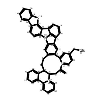 C=C1CC2C(CCc3cc4c(cc3-c3cc(CC(C)(C)C)cc[n+]31)c1cccc3c5c6sc7ccccc7c6ccc5n4c13)c1ccccc1-c1cccc[n+]12